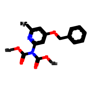 Cc1cc(OCc2ccccc2)cc(N(C(=O)OC(C)(C)C)C(=O)OC(C)(C)C)n1